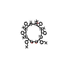 Cn1c2ccc1c1ccc(c(-c3cccc(CC(C)(C)C)c3)c3nc(c(-c4ccccc4CC(C)(C)C)c4nc(c(-c5ccccc5CC(C)(C)C)c5ccc([nH]5)c5ccc([nH]5)c(-c5ccccc5CC(C)(C)C)c5nc(c(-c6ccccc6CC(C)(C)C)c6nc(c2-c2cccc(CC(C)(C)C)c2)C=C6)C=C5)C=C4)C=C3)n1C